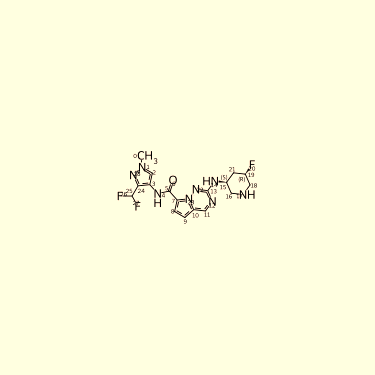 Cn1cc(NC(=O)c2ccc3cnc(N[C@@H]4CNC[C@H](F)C4)nn23)c(C(F)F)n1